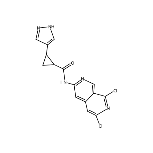 O=C(Nc1cc2cc(Cl)nc(Cl)c2cn1)C1CC1c1cn[nH]c1